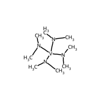 C[N](C)[V]([N](C)C)([N](C)C)[N](C)C